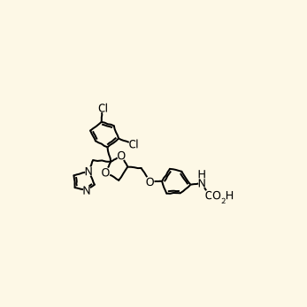 O=C(O)Nc1ccc(OCC2COC(Cn3ccnc3)(c3ccc(Cl)cc3Cl)O2)cc1